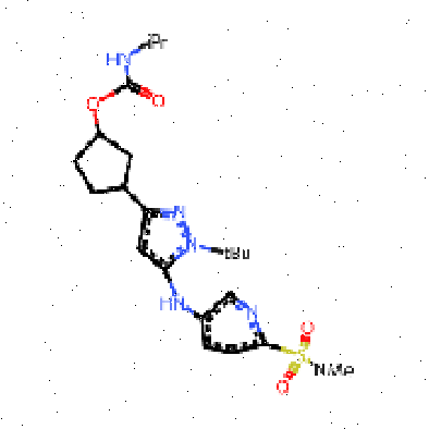 CNS(=O)(=O)c1ccc(Nc2cc(C3CCC(OC(=O)NC(C)C)C3)nn2C(C)(C)C)cn1